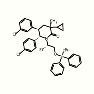 CC[C@@H](CO[Si](c1ccccc1)(c1ccccc1)C(C)(C)C)N1C(=O)[C@@](C)(C2CC2)C[C@H](c2cccc(Cl)c2)[C@H]1c1ccc(Cl)cc1